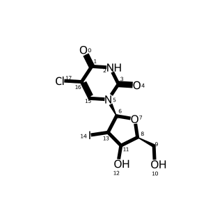 O=c1[nH]c(=O)n([C@H]2O[C@@H](CO)C(O)C2I)cc1Cl